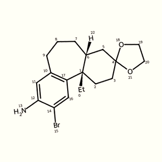 CC[C@]12CCC3(C[C@H]1CCCc1cc(N)c(Br)cc12)OCCO3